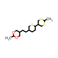 CC1OCC(CCC2CCC(C3CSC(C)SC3)SC2)CO1